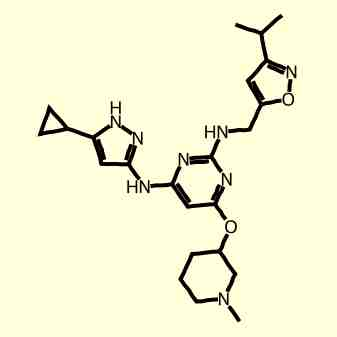 CC(C)c1cc(CNc2nc(Nc3cc(C4CC4)[nH]n3)cc(OC3CCCN(C)C3)n2)on1